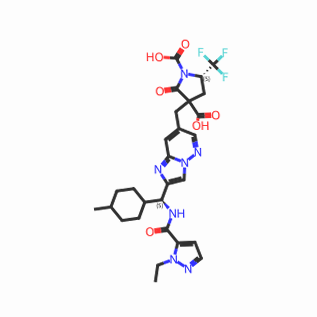 CCn1nccc1C(=O)N[C@H](c1cn2ncc(CC3(C(=O)O)C[C@@H](C(F)(F)F)N(C(=O)O)C3=O)cc2n1)C1CCC(C)CC1